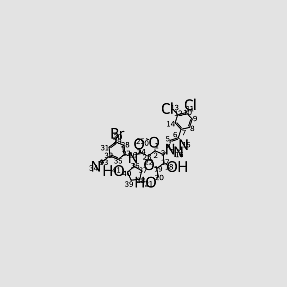 CO[C@@H]1[C@@H](n2cc(-c3ccc(Cl)c(Cl)c3)nn2)[C@@H](O)[C@@H](CO)O[C@H]1C(=O)N(c1cc(Br)cc(C#N)c1)[C@H]1CCC[C@@H]1O